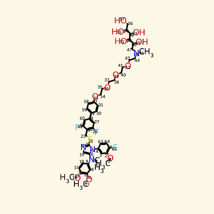 COc1cc(-n2c(N(C)c3ccc(OC)c(OC)c3)cnc2SCc2c(F)cc(-c3ccc(OCCOCCOCCOCCN(C)C[C@H](O)[C@@H](O)[C@H](O)[C@H](O)CO)cc3)cc2F)ccc1F